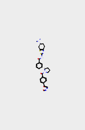 CN(C)[C@H]1CCc2nc(NC(=O)c3cccc([C@H]4CCCN4C(=O)c4ccc(-c5cnco5)cc4)c3)sc2C1